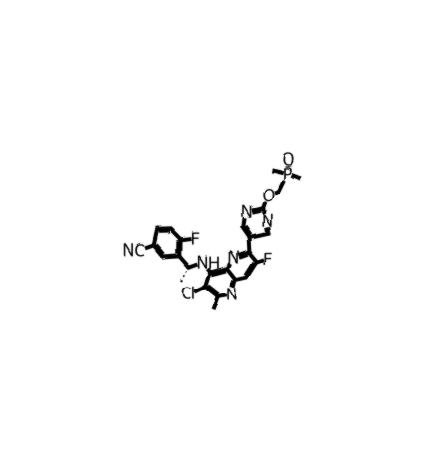 Cc1nc2cc(F)c(-c3cnc(OCP(C)(C)=O)nc3)nc2c(N[C@H](C)c2cc(C#N)ccc2F)c1Cl